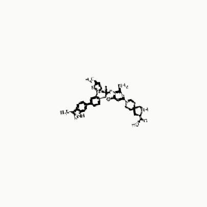 Cc1ccn(-c2cc(-c3ccc4c(C)n[nH]c4c3)ccc2[C@@H](Oc2cc(N3CCC4(CC3)CN[C@H](C(=O)O)C4)nc(N)n2)C(F)(F)F)n1